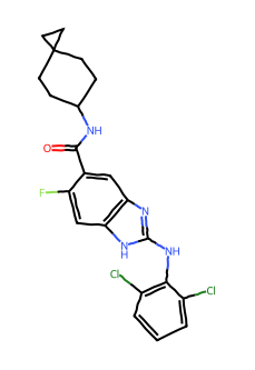 O=C(NC1CCC2(CC1)CC2)c1cc2nc(Nc3c(Cl)cccc3Cl)[nH]c2cc1F